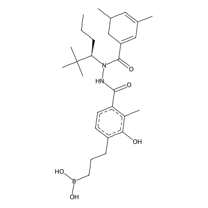 CCC[C@@H](N(NC(=O)c1ccc(CCCB(O)O)c(O)c1C)C(=O)C1=CC(C)=CC(C)C1)C(C)(C)C